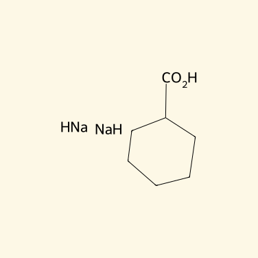 O=C(O)C1CCCCC1.[NaH].[NaH]